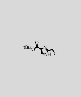 CC(C)(C)OC(=O)c1c[nH]c(CCl)n1